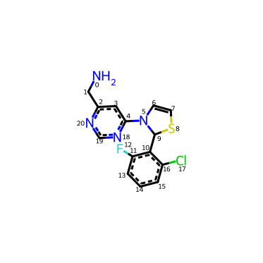 NCc1cc(N2C=CSC2c2c(F)cccc2Cl)ncn1